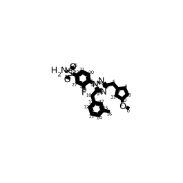 COC1CCC(Cc2nc(Cc3cccc(C)c3)n(-c3ccc(S(N)(=O)=O)cc3F)n2)C1